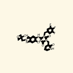 CC1(Cn2cc3cc(Nc4nc(=O)n(Cc5ccc[nH]c5=O)c(=O)n4Cc4cc(F)c(F)c(F)c4)c(Cl)cc3n2)COC1